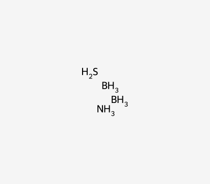 B.B.N.S